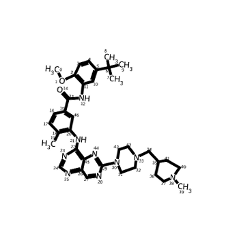 COc1ccc(C(C)(C)C)cc1NC(=O)c1ccc(C)c(Nc2ncnc3cnc(N4CCN(CC5CCN(C)CC5)CC4)nc23)c1